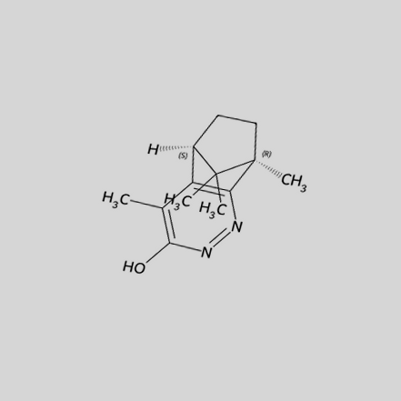 Cc1c(O)nnc2c1[C@H]1CC[C@]2(C)C1(C)C